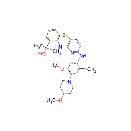 COc1cc(Nc2ncc(Br)c(Nc3ccccc3C(C)(C)O)n2)c(C)cc1N1CCC(OC)CC1